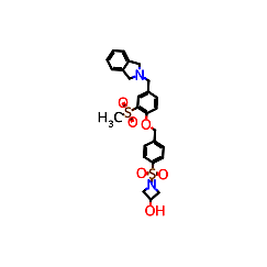 CS(=O)(=O)c1cc(CN2Cc3ccccc3C2)ccc1OCc1ccc(S(=O)(=O)N2CC(O)C2)cc1